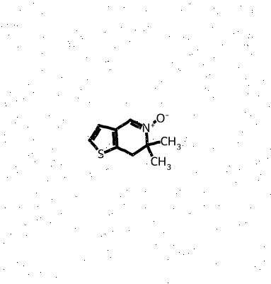 CC1(C)Cc2sccc2C=[N+]1[O-]